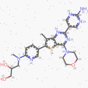 Cc1c(-c2ccc(N(C)CC(O)CO)nc2)sc2c(N3CCOCC3)nc(-c3cnc(N)nc3)nc12